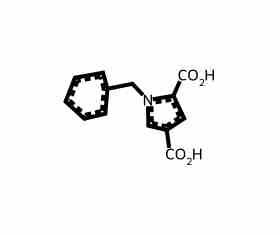 O=C(O)c1cc(C(=O)O)n(Cc2ccccc2)c1